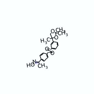 C/C(=N\O)c1ccc(S(=O)(=O)c2cccc(C3(C)COC(C)(C)O3)c2)cc1